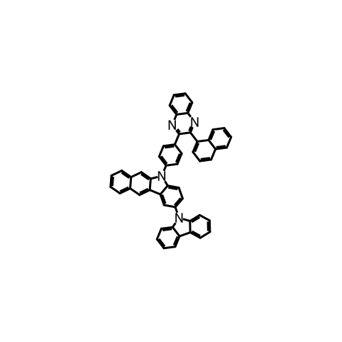 c1ccc2cc3c(cc2c1)c1cc(-n2c4ccccc4c4ccccc42)ccc1n3-c1ccc(-c2nc3ccccc3nc2-c2cccc3ccccc23)cc1